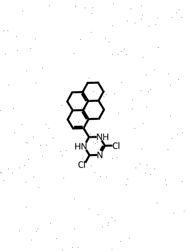 ClC1=NC(Cl)NC(C2=CCC3CCC4=C5C3=C2CCC5CCC4)N1